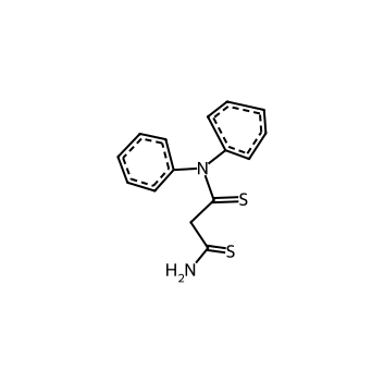 NC(=S)CC(=S)N(c1ccccc1)c1ccccc1